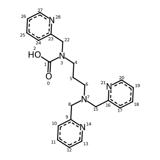 O=C(O)N(CCCN(Cc1ccccn1)Cc1ccccn1)Cc1ccccn1